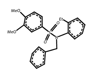 CCc1ccccc1N(Cc1ccccc1)S(=O)(=O)c1ccc(OC)c(OC)c1